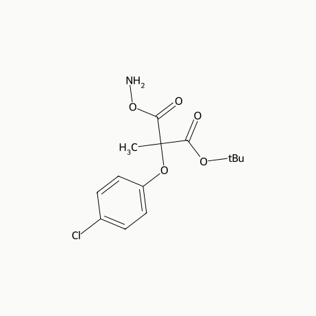 CC(C)(C)OC(=O)C(C)(Oc1ccc(Cl)cc1)C(=O)ON